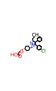 CCCc1nn(C[C@H]2CC[C@H](COCC(=O)O)CC2)c(-c2ccc(Cl)cc2)c1-c1ccccc1